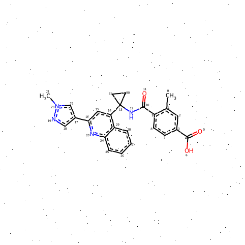 Cc1cc(C(=O)O)ccc1C(=O)NC1(c2cc(-c3cnn(C)c3)nc3ccccc23)CC1